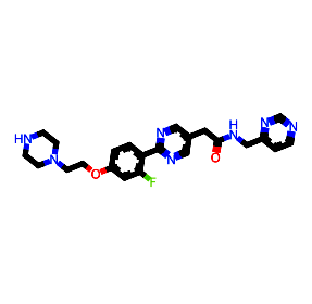 O=C(Cc1cnc(-c2ccc(OCCN3CCNCC3)cc2F)nc1)NCc1ccncn1